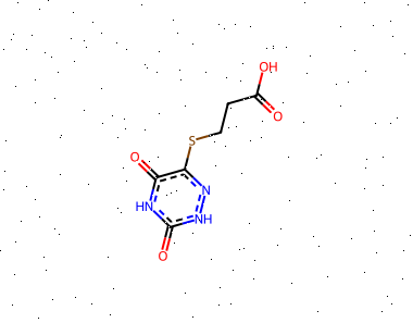 O=C(O)CCSc1n[nH]c(=O)[nH]c1=O